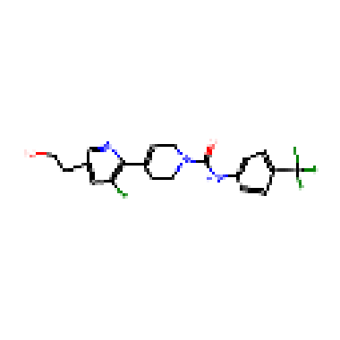 O=C(Nc1ccc(C(F)(F)F)cc1)N1CC=C(c2ncc(CCO)cc2F)CC1